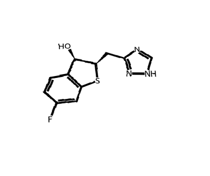 O[C@@H]1c2ccc(F)cc2S[C@@H]1Cc1nc[nH]n1